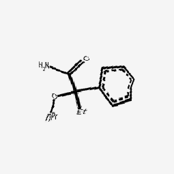 CCCOC(CC)(C(N)=O)c1ccccc1